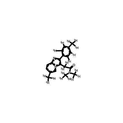 [2H]c1c([2H])c(C([2H])([2H])[2H])c([2H])c([2H])c1-c1nc2ccc(C([2H])([2H])[2H])cn2c1C([2H])([2H])C(=O)N(C([2H])([2H])[2H])C([2H])([2H])[2H]